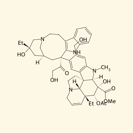 CC[C@]1(O)C[C@H]2CN(CCc3c([nH]c4ccccc34)[C@@](C(=O)CO)(c3cc4c(cc3CO)N(C)[C@H]3[C@@](O)(C(=O)OC)[C@H](OC(C)=O)[C@]5(CC)C=CCN6CC[C@]43[C@@H]65)C2)C1